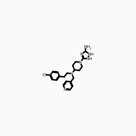 NC1N=C(N2CCC(N(CCc3ccc(Cl)cc3)Cc3ccncc3)CC2)NN1